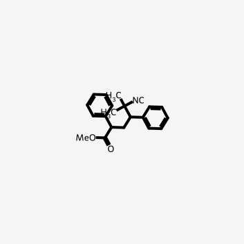 [C-]#[N+]C(C)(C)C(CC(C(=O)OC)c1ccccc1)c1ccccc1